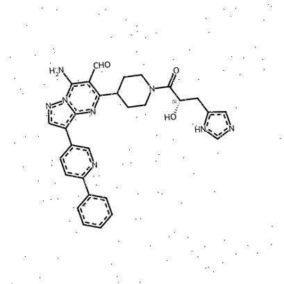 Nc1c(C=O)c(C2CCN(C(=O)[C@@H](O)Cc3cnc[nH]3)CC2)nc2c(-c3ccc(-c4ccccc4)nc3)cnn12